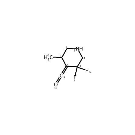 CC1CNCC(F)(F)C1=C=O